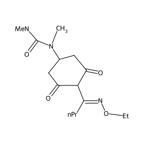 CCCC(=NOCC)C1C(=O)CC(N(C)C(=O)NC)CC1=O